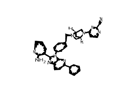 N#Cc1nccc(N2C[C@@H]3C[C@H]2CN3Cc2ccc(-n3c(-c4cccnc4N)nc4ccc(-c5ccccc5)nc43)cc2)n1